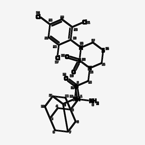 NC(=O)C12CC3CC(C1)C(NC(=O)CN1CSCN(c4c(Cl)cc(Cl)cc4Cl)S1(=O)=O)C(C3)C2